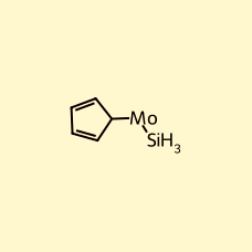 [SiH3][Mo][CH]1C=CC=C1